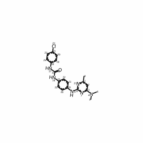 Cc1cc(N(C)C)nc(Nc2ccc(NC(=O)Nc3ccc(Cl)cc3)cc2)n1